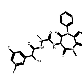 C[C@H](NC(=O)C(O)c1cc(F)cc(F)c1)C(=O)NC1C(=O)N(C)c2ccccc2N(c2ccccc2)C1=O